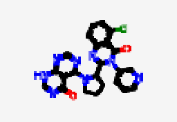 O=c1nc[nH]c2ncnc(N3CCCC3c3nc4cccc(Cl)c4c(=O)n3-c3cccnc3)c12